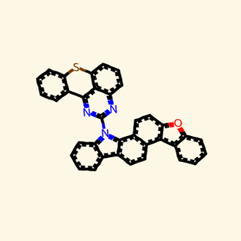 c1ccc2c(c1)Sc1cccc3nc(-n4c5ccccc5c5ccc6c(ccc7oc8ccccc8c76)c54)nc-2c13